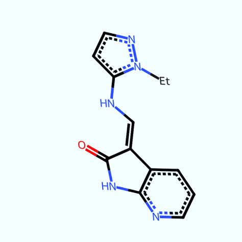 CCn1nccc1NC=C1C(=O)Nc2ncccc21